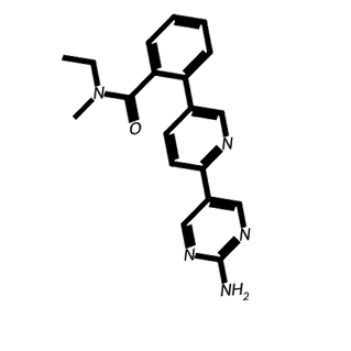 CCN(C)C(=O)c1ccccc1-c1ccc(-c2cnc(N)nc2)nc1